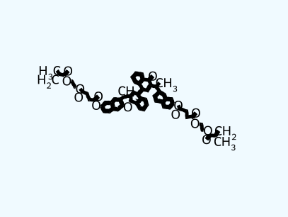 C=C(C)C(=O)OCCOC(=O)CCC(=O)Oc1ccc2ccc(C(C)C3=C/C(=C4/C=C(C(C)c5ccc6ccc(OC(=O)CCC(=O)OCCOC(=O)C(=C)C)cc6c5)C(=O)c5ccccc54)c4ccccc4C3=O)cc2c1